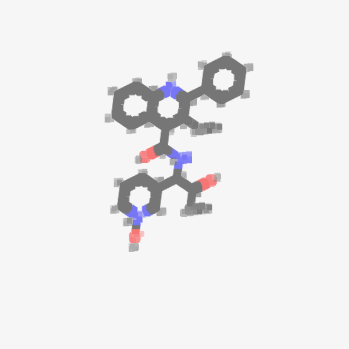 COC(=O)C(NC(=O)c1c(OC)c(-c2ccccc2)nc2ccccc12)c1ccc[n+]([O-])c1